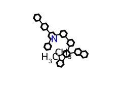 CC1(C)c2ccccc2-c2cc(-c3ccc4ccccc4c3)c(-c3cccc(-c4cccc(-c5cc(-c6ccc(-c7ccccc7)cc6)cc(-c6ccccc6)n5)c4)c3)cc21